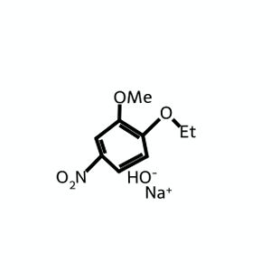 CCOc1ccc([N+](=O)[O-])cc1OC.[Na+].[OH-]